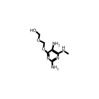 CNc1nc(N)nc(OCOCO)c1N